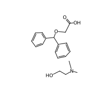 CN(C)CCO.O=C(O)COC(c1ccccc1)c1ccccc1